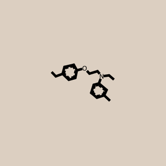 CCc1ccc(OCCN(CC)c2cccc(C)c2)cc1